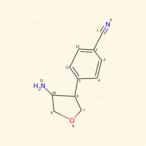 N#Cc1ccc(C2COCC2N)cc1